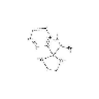 CCC(C(=O)O)C1(c2ccccc2)OCCO1